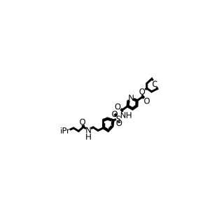 CC(C)CCC(=O)NCCc1ccc(S(=O)(=O)NC(=O)c2ccc(C(=O)OC3CCCCC3)nc2)cc1